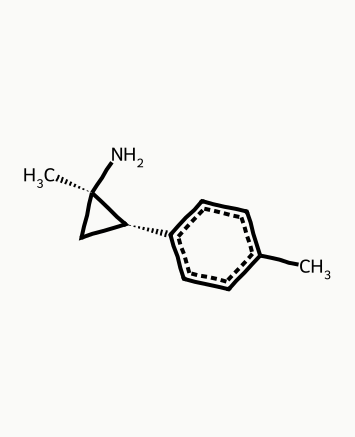 Cc1ccc([C@@H]2C[C@@]2(C)N)cc1